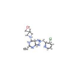 CC(C)(C)c1nc(N2CC3(COC3)C2)c2nn(Cc3ncccc3Cl)nc2n1